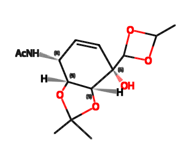 CC(=O)N[C@@H]1C=C[C@@](O)(C2OC(C)O2)[C@H]2OC(C)(C)O[C@@H]12